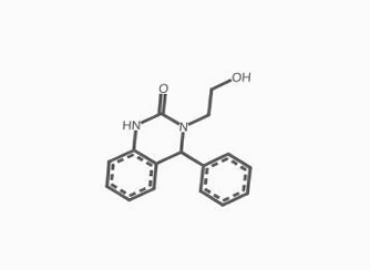 O=C1Nc2ccccc2C(c2ccccc2)N1CCO